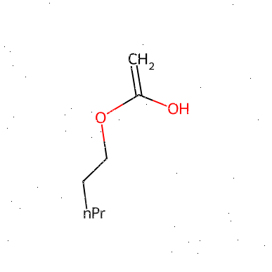 C=C(O)OCCCCC